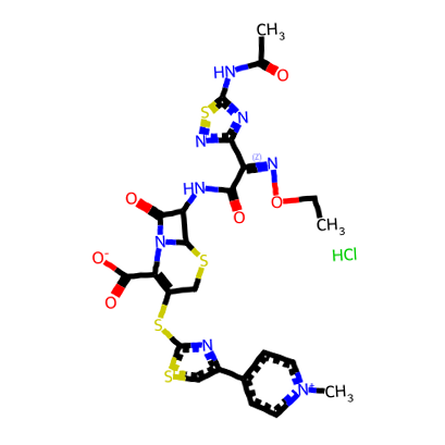 CCO/N=C(\C(=O)NC1C(=O)N2C(C(=O)[O-])=C(Sc3nc(-c4cc[n+](C)cc4)cs3)CSC12)c1nsc(NC(C)=O)n1.Cl